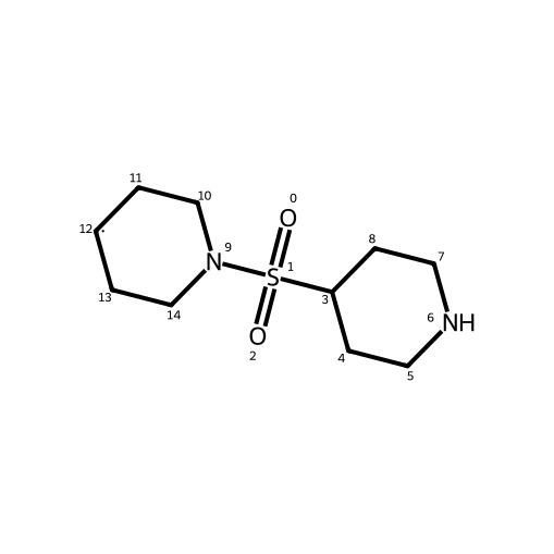 O=S(=O)(C1CCNCC1)N1CC[CH]CC1